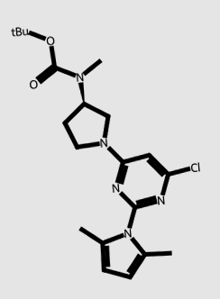 Cc1ccc(C)n1-c1nc(Cl)cc(N2CC[C@@H](N(C)C(=O)OC(C)(C)C)C2)n1